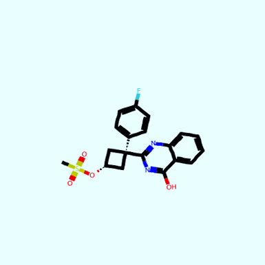 CS(=O)(=O)O[C@H]1C[C@](c2ccc(F)cc2)(c2nc(O)c3ccccc3n2)C1